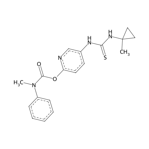 CN(C(=O)Oc1ccc(NC(=S)NC2(C)CC2)cn1)c1ccccc1